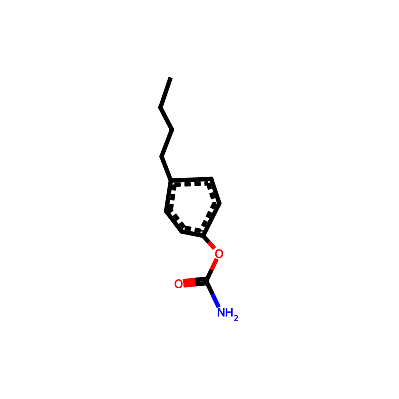 CCCCc1ccc(OC(N)=O)cc1